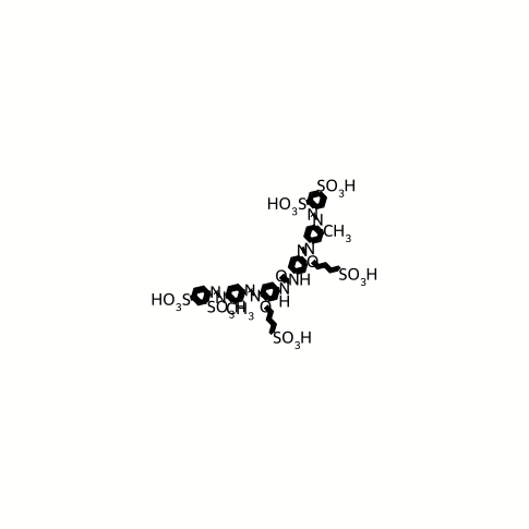 Cc1cc(N=Nc2ccc(NC(=O)Nc3ccc(N=Nc4ccc(N=Nc5ccc(S(=O)(=O)O)cc5S(=O)(=O)O)c(C)c4)c(OCCCCS(=O)(=O)O)c3)cc2OCCCCS(=O)(=O)O)ccc1N=Nc1ccc(S(=O)(=O)O)cc1S(=O)(=O)O